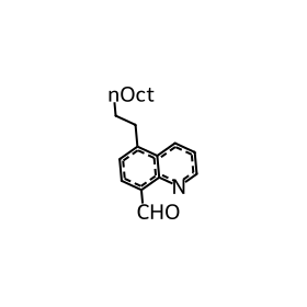 CCCCCCCCCCc1ccc(C=O)c2ncccc12